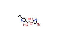 Oc1ncc(Br)cc1OCC(O)c1ccc(C2CC2)nc1